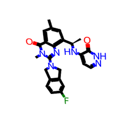 Cc1cc([C@@H](C)Nc2ccn[nH]c2=O)c2nc(N3Cc4ccc(F)cc4C3)n(C)c(=O)c2c1